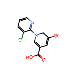 O=C(O)C1=CN(c2ncccc2Cl)CC(Br)=C1